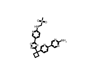 CS(=O)(=O)CNc1ccc(-c2nc(C3(c4ccc(-c5cnc(N)nc5)nc4)CCC3)no2)cn1